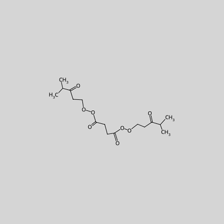 CC(C)C(=O)CCOOC(=O)CCC(=O)OOCCC(=O)C(C)C